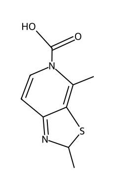 CC1=C2SC(C)N=C2C=CN1C(=O)O